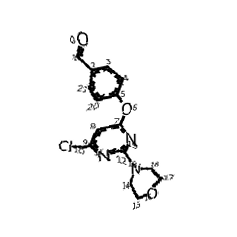 O=Cc1ccc(Oc2cc(Cl)nc(N3CCOCC3)n2)cc1